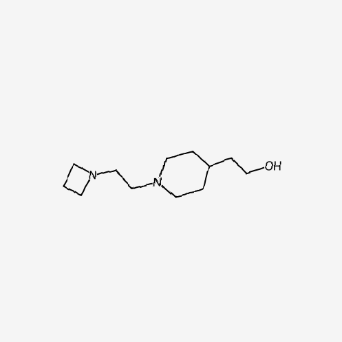 OCCC1CCN(CCN2CCC2)CC1